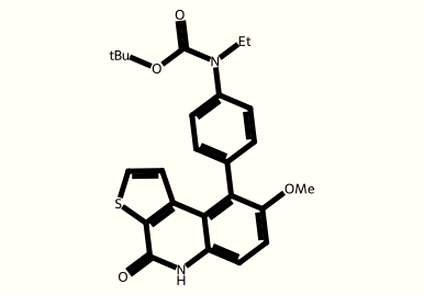 CCN(C(=O)OC(C)(C)C)c1ccc(-c2c(OC)ccc3[nH]c(=O)c4sccc4c23)cc1